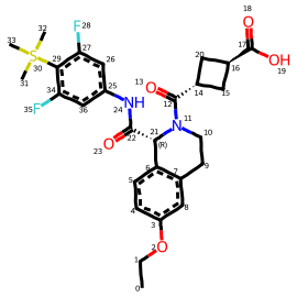 CCOc1ccc2c(c1)CCN(C(=O)[C@H]1C[C@H](C(=O)O)C1)[C@H]2C(=O)Nc1cc(F)c(S(C)(C)C)c(F)c1